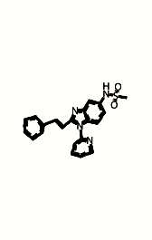 CS(=O)(=O)Nc1ccc2c(c1)nc(C=Cc1ccccc1)n2-c1ccccn1